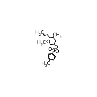 C=CCCC(C)CC(COC)OS(=O)(=O)c1ccc(C)cc1